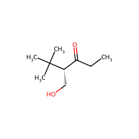 CCC(=O)[C@H](CO)C(C)(C)C